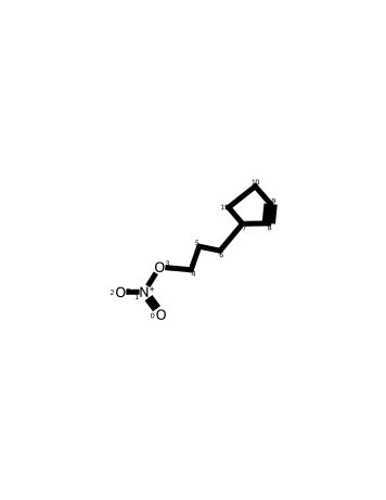 O=[N+]([O-])OCCCC1C#CCC1